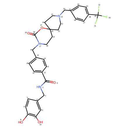 O=C(NCc1ccc(O)c(O)c1)c1ccc(CN2CCC3(CCN(Cc4ccc(C(F)(F)F)cc4)CC3)OC2=O)cc1